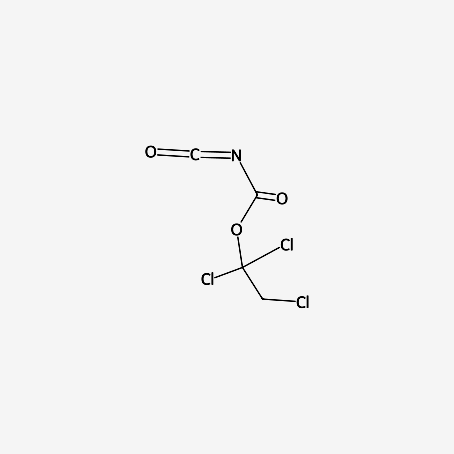 O=C=NC(=O)OC(Cl)(Cl)CCl